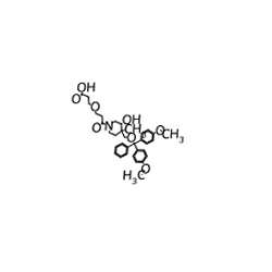 COc1ccc(C(OCC2(C)CCN(C(=O)CCOCCC(=O)O)CC2O)(c2ccccc2)c2ccc(OC)cc2)cc1